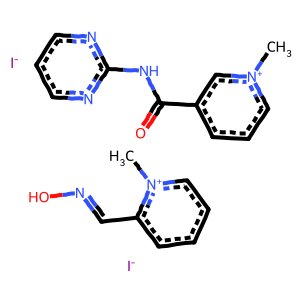 C[n+]1cccc(C(=O)Nc2ncccn2)c1.C[n+]1ccccc1C=NO.[I-].[I-]